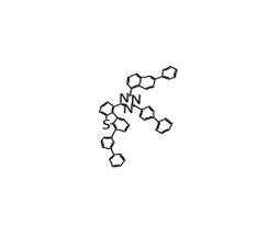 c1ccc(-c2ccc(-c3nc(-c4cccc5cc(-c6ccccc6)ccc45)nc(-c4cccc5sc6c(-c7cccc(-c8ccccc8)c7)cccc6c45)n3)cc2)cc1